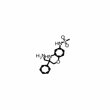 CS(=O)(=O)Nc1ccc2c(c1)NC(CN)(c1ccccc1)CO2